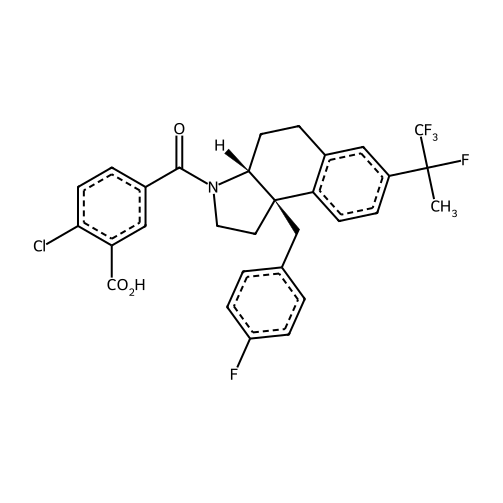 CC(F)(c1ccc2c(c1)CC[C@H]1N(C(=O)c3ccc(Cl)c(C(=O)O)c3)CC[C@@]21Cc1ccc(F)cc1)C(F)(F)F